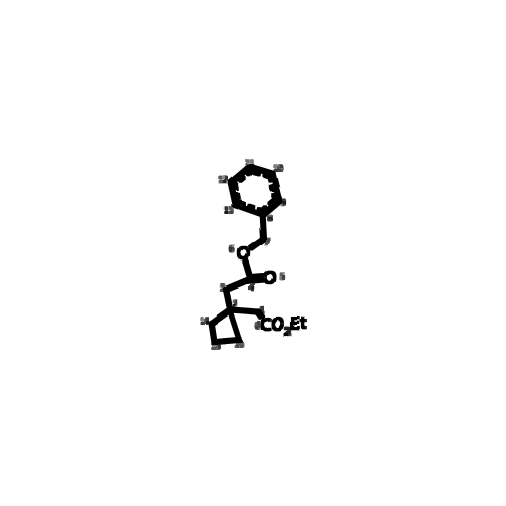 CCOC(=O)CC1(CC(=O)OCc2ccccc2)CCC1